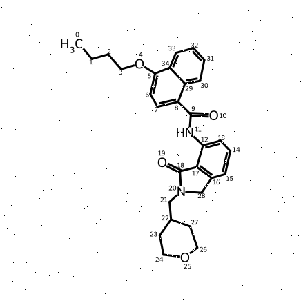 CCCCOc1ccc(C(=O)Nc2cccc3c2C(=O)N(CC2CCOCC2)C3)c2ccccc12